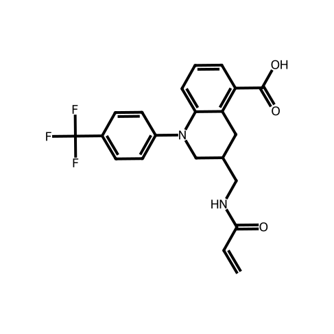 C=CC(=O)NCC1Cc2c(C(=O)O)cccc2N(c2ccc(C(F)(F)F)cc2)C1